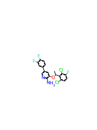 CC(Oc1cc(-c2ccc(F)c(F)c2)cnc1N)c1c(Cl)ccc(F)c1Cl